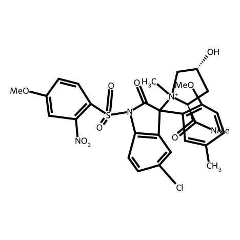 CNC(=O)[C@@H]1C[C@@H](O)C[N+]1(C)C1(c2cc(C)ccc2OC)C(=O)N(S(=O)(=O)c2ccc(OC)cc2[N+](=O)[O-])c2ccc(Cl)cc21